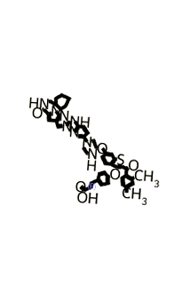 Cc1ccc(C(=O)c2sc3cc(OC4CN(c5ccc(Nc6ncc7cc8n(c7n6)C6(CCCCC6)CNC8=O)nc5)CCN4)ccc3c2Oc2ccc(/C=C/C(=O)O)cc2)c(C)c1